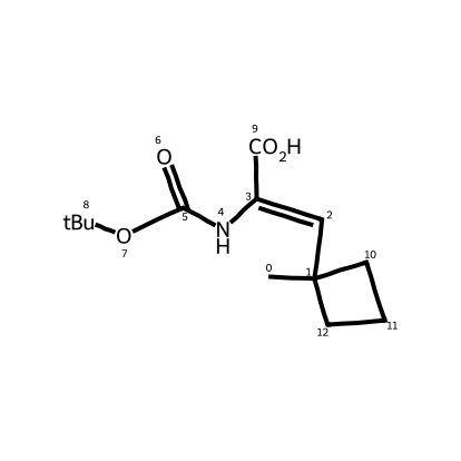 CC1(/C=C(\NC(=O)OC(C)(C)C)C(=O)O)CCC1